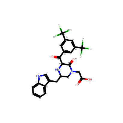 O=C(O)CN1CC(Cc2c[nH]c3ccccc23)NC(C(=O)c2cc(C(F)(F)F)cc(C(F)(F)F)c2)C1=O